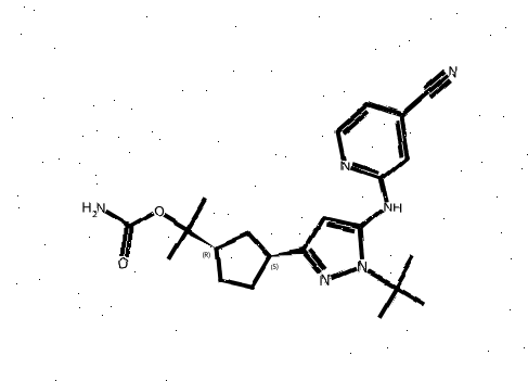 CC(C)(OC(N)=O)[C@@H]1CC[C@H](c2cc(Nc3cc(C#N)ccn3)n(C(C)(C)C)n2)C1